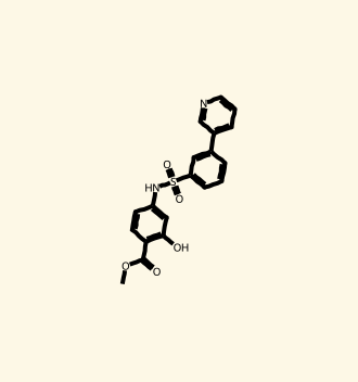 COC(=O)c1ccc(NS(=O)(=O)c2cccc(-c3cccnc3)c2)cc1O